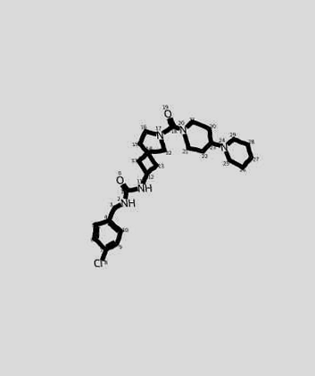 O=C(NCc1ccc(Cl)cc1)NC1CC2(CCN(C(=O)N3CCC(N4CCCCC4)CC3)C2)C1